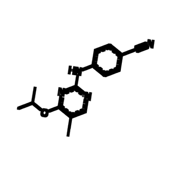 CC(C)Oc1nc(Nc2ccc(C#N)cc2)ncc1I